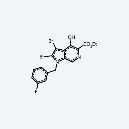 CCOC(=O)c1ncc2c(c1O)c(Br)c(Br)n2Cc1cccc(F)c1